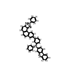 c1ccc(N(c2cccc(-c3ccc4c(ccc5ccc6nn(-c7ccccc7)nc6c54)c3)c2)c2ccc3c(c2)sc2ccccc23)cc1